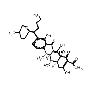 CCCCC(c1ccc2c(c1O)C(=O)C1=C(O)[C@@]3(O)C(=O)C(C(C)=O)=C(O)C[C@H]3[C@H](O)[C@H]1[C@@H]2C)C1CCC(C)CC1